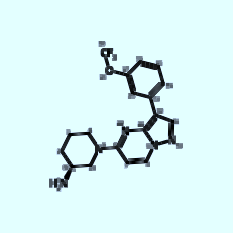 N[C@H]1CCCN(c2ccn3ncc(-c4cccc(OC(F)(F)F)c4)c3n2)C1